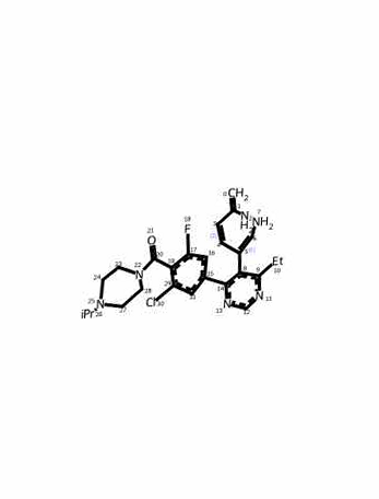 C=C(N)/C=C\C(=C/N)c1c(CC)ncnc1-c1cc(F)c(C(=O)N2CCN(C(C)C)CC2)c(Cl)c1